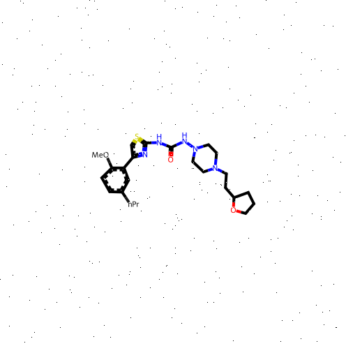 CCCc1ccc(OC)c(-c2csc(NC(=O)NN3CCN(CCC4CCCO4)CC3)n2)c1